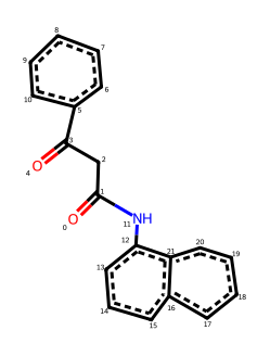 O=C(CC(=O)c1ccccc1)Nc1cccc2ccccc12